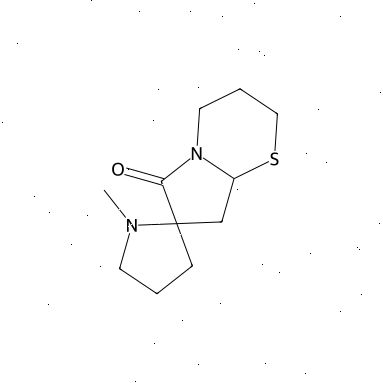 CN1CCCC12CC1SCCCN1C2=O